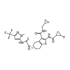 Cn1nc(C(F)(F)F)cc1NC(=S)N[C@H]1CCc2sc(NC(=O)C3CC3F)c(C(=O)NCC3CC3)c2C1